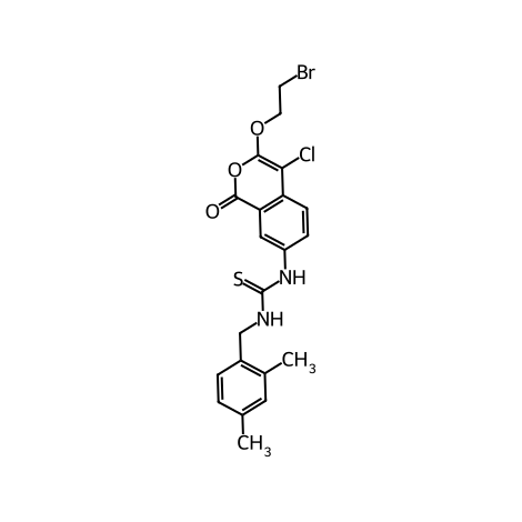 Cc1ccc(CNC(=S)Nc2ccc3c(Cl)c(OCCBr)oc(=O)c3c2)c(C)c1